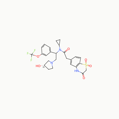 O=C1CS(=O)(=O)c2ccc(CC(=O)N(C3CC3)C(CN3CC[C@H](O)C3)c3cccc(OC(F)(F)F)c3)cc2N1